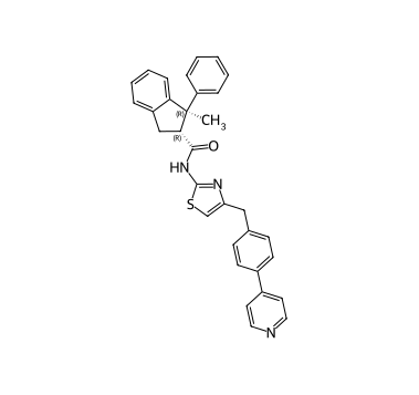 C[C@@]1(c2ccccc2)c2ccccc2C[C@H]1C(=O)Nc1nc(Cc2ccc(-c3ccncc3)cc2)cs1